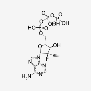 C#C[C@@]1(F)[C@H](O)[C@@H](COP(=O)(O)OP(=O)(O)OP(=O)(O)O)O[C@H]1n1cnc2c(N)ncnc21